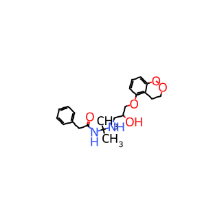 CC(C)(NCC(O)COc1cccc2c1CCOO2)NC(=O)Cc1ccccc1